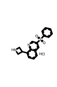 Cl.O=S(=O)(c1ccccc1)c1cnc2c(C3CNC3)cccc2c1